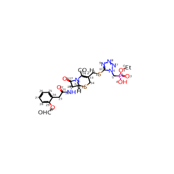 CCOP(=O)(O)Cn1nnnc1SCC1=C(C(=O)O)N2C(=O)[C@@H](NC(=O)Cc3ccccc3OC=O)[C@H]2SC1